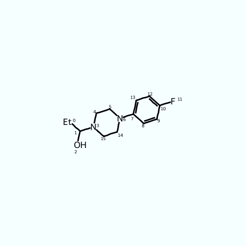 CCC(O)N1CCN(c2ccc(F)cc2)CC1